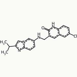 CC(C)c1cn2cc(NCc3cc4cc(Cl)ccc4[nH]c3=O)ccc2n1